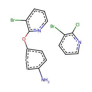 Clc1ncccc1Br.Nc1ccc(Oc2ncccc2Br)cc1